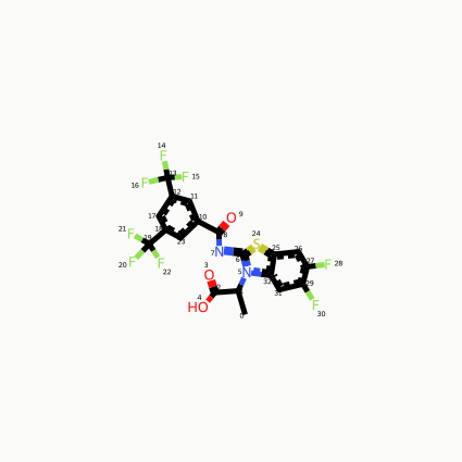 CC(C(=O)O)n1c(=NC(=O)c2cc(C(F)(F)F)cc(C(F)(F)F)c2)sc2cc(F)c(F)cc21